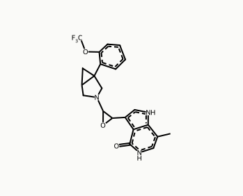 Cc1c[nH]c(=O)c2c(C3OC3N3CC4CC4(c4ccccc4OC(F)(F)F)C3)c[nH]c12